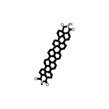 CC(C)N1C(=O)c2ccc3c4ccc5c6ccc7c8ccc9c%10ccc%11c%12c(ccc(c%13ccc(c%14ccc(c%15ccc(c%16ccc(c2c3%16)C1=O)c4c5%15)c6c7%14)c8c9%13)c%12%10)C(=O)N(C)C%11=O